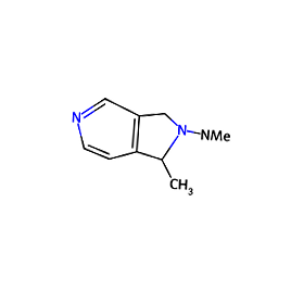 CNN1Cc2cnccc2C1C